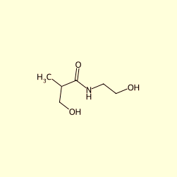 CC(CO)C(=O)NCCO